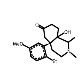 CCc1ccc(OC)cc1[C@]12CCN(C)C(C)C1(O)CCC(=O)C2